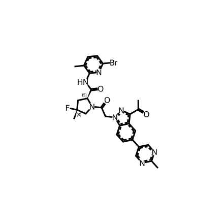 CC(=O)c1nn(CC(=O)N2C[C@](C)(F)C[C@H]2C(=O)Nc2nc(Br)ccc2C)c2ccc(-c3cnc(C)nc3)cc12